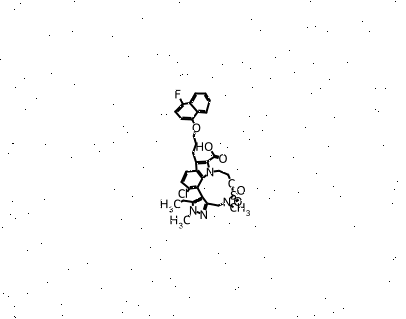 CCc1c2c(nn1C)CN(C)S(=O)(=O)CCCn1c(C(=O)O)c(CCCOc3ccc(F)c4ccccc34)c3ccc(Cl)c-2c31